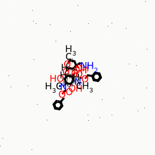 C[C@@H]1CC(O)(CN)[C@]2(O)O[C@H]3[C@H](O[C@@H]2O1)[C@@H](O)[C@H](N(C)C(=O)OCc1ccccc1)[C@H](O)[C@@H]3N(C)C(=O)OCc1ccccc1